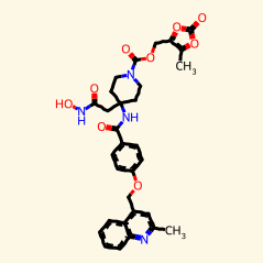 Cc1cc(COc2ccc(C(=O)NC3(CC(=O)NO)CCN(C(=O)OCc4oc(=O)oc4C)CC3)cc2)c2ccccc2n1